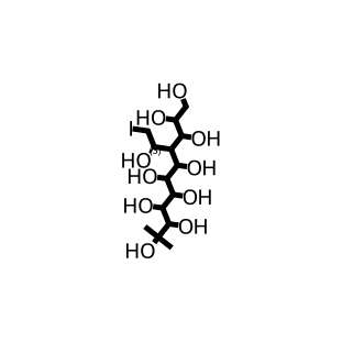 CC(C)(O)C(O)C(O)C(O)C(O)C(O)C(C(O)C(O)CO)[C@H](O)CI